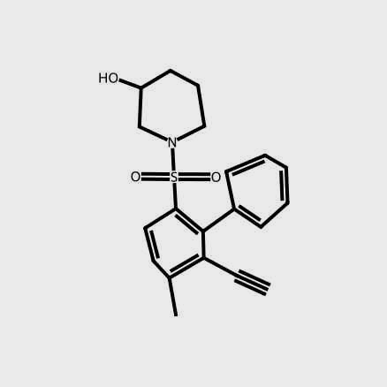 C#Cc1c(C)ccc(S(=O)(=O)N2CCCC(O)C2)c1-c1ccccc1